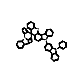 c1ccc(-n2c3ccccc3c3ccc(-n4c5ccccc5c5c6c(ccc54)C4(c5ccccc5O6)c5ccccc5-n5c6ccccc6c6cccc4c65)cc32)cc1